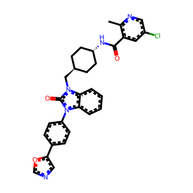 Cc1ncc(Cl)cc1C(=O)N[C@H]1CC[C@H](Cn2c(=O)n(-c3ccc(-c4cnco4)cc3)c3ccccc32)CC1